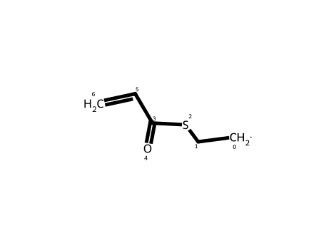 [CH2]CSC(=O)C=C